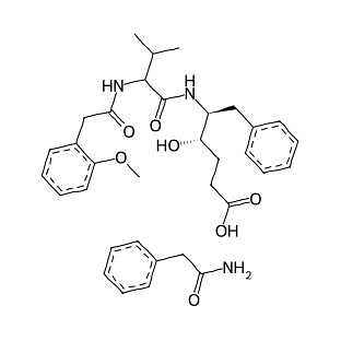 COc1ccccc1CC(=O)NC(C(=O)N[C@@H](Cc1ccccc1)[C@@H](O)CCC(=O)O)C(C)C.NC(=O)Cc1ccccc1